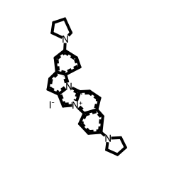 [I-].c1cc2c(ccc3c[n+]4c5ccc(N6CCCC6)cc5ccc4n32)cc1N1CCCC1